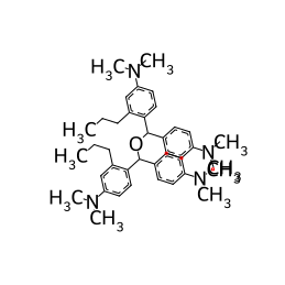 CCCc1cc(N(C)C)ccc1C(OC(c1ccc(N(C)C)cc1)c1ccc(N(C)C)cc1CCC)c1ccc(N(C)C)cc1